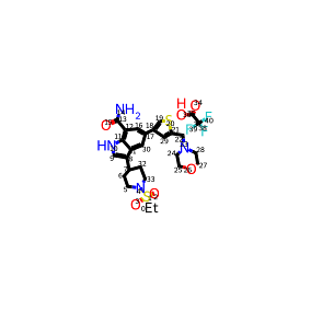 CCS(=O)(=O)N1CCC(c2c[nH]c3c(C(N)=O)cc(-c4csc(CN5CCOCC5)c4)cc23)CC1.O=C(O)C(F)(F)F